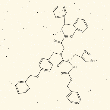 O=C(CN(Cc1ccc(OCc2ccccc2)cc1)C(=O)[C@H](Cc1c[nH]cn1)NC(=O)OCc1ccccc1)NCC(c1ccccc1)c1ccccc1Cl